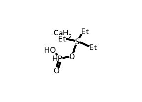 CCS(CC)(CC)O[PH](=O)O.[CaH2]